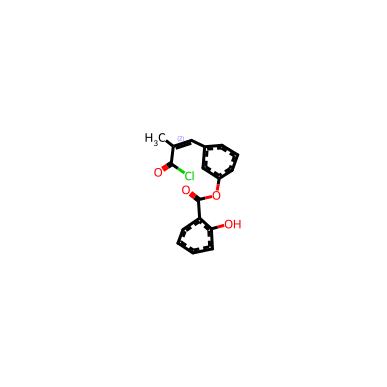 C/C(=C/c1cccc(OC(=O)c2ccccc2O)c1)C(=O)Cl